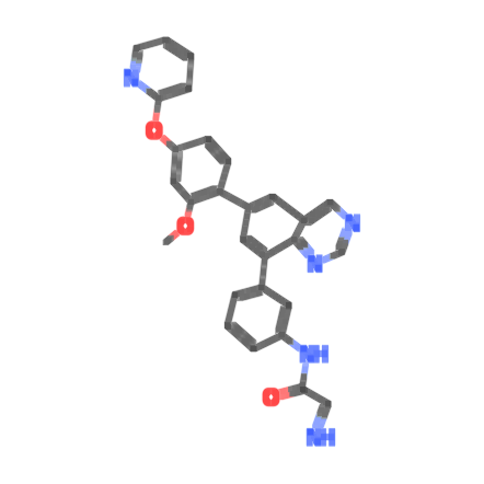 COc1cc(Oc2ccccn2)ccc1-c1cc(-c2cccc(NC(=O)C=N)c2)c2ncncc2c1